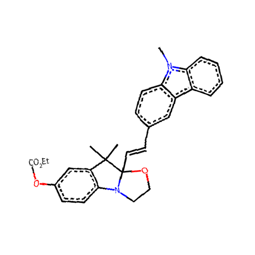 CCOC(=O)Oc1ccc2c(c1)C(C)(C)C1(C=Cc3ccc4c(c3)c3ccccc3n4C)OCCN21